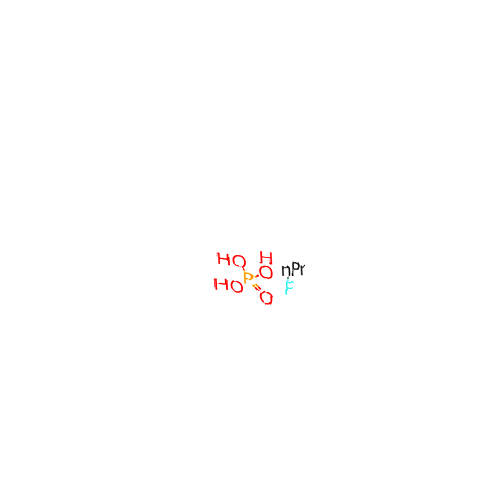 CCCF.O=P(O)(O)O